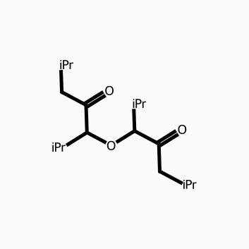 CC(C)CC(=O)C(OC(C(=O)CC(C)C)C(C)C)C(C)C